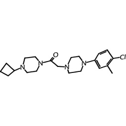 Cc1cc(N2CCN(CC(=O)N3CCN(C4CCC4)CC3)CC2)ccc1Cl